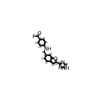 O=C(F)c1ccc(NCc2ccc3cc(-c4nn[nH]n4)oc3c2)cc1